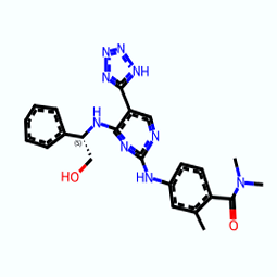 Cc1cc(Nc2ncc(-c3nnn[nH]3)c(N[C@H](CO)c3ccccc3)n2)ccc1C(=O)N(C)C